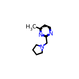 Cc1ccnc(CN2CCCC2)n1